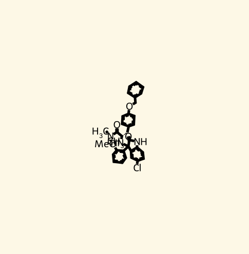 COc1ccccc1C1(N[C@@H](Cc2ccc(OCc3ccccc3)cc2)C(=O)N(C)C)C(=O)Nc2ccc(Cl)cc21